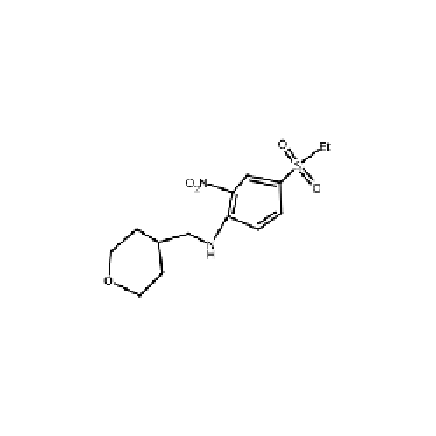 CCS(=O)(=O)c1ccc(NCC2CCOCC2)c([N+](=O)[O-])c1